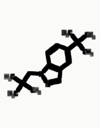 CC(C)(C)Cn1ncc2cc(C(C)(C)C)ccc21